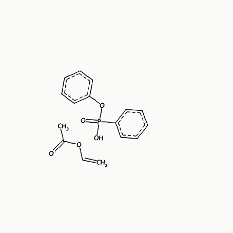 C=COC(C)=O.O=P(O)(Oc1ccccc1)c1ccccc1